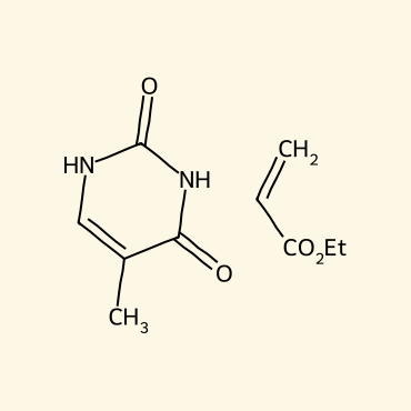 C=CC(=O)OCC.Cc1c[nH]c(=O)[nH]c1=O